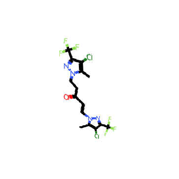 Cc1c(Cl)c(C(F)(F)F)nn1CCC(=O)CCn1nc(C(F)(F)F)c(Cl)c1C